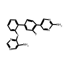 Nc1ncc(-c2ccc(-c3ccccc3Sc3ncncc3N)cc2F)cn1